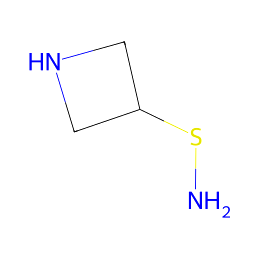 NSC1CNC1